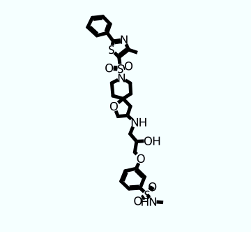 CNS(=O)(=O)c1cccc(OCC(O)CNC2COC3(CCN(S(=O)(=O)c4sc(-c5ccccc5)nc4C)CC3)C2)c1